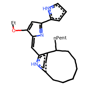 CCCCCC1CCCCCCc2cc1c(C=C1N=C(c3ccc[nH]3)C=C1OCC)[nH]2